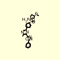 Cc1ncc(-c2ccc([SH](=O)(P)N3CC[C@@H](N(C)C)C3)cc2)nc1-c1nnc(-c2ccccc2)o1